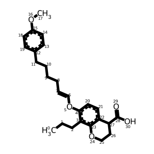 CCCc1c(OC=CCCCCc2ccc(OC)cc2)ccc2c1OCCC2C(=O)O